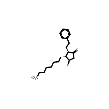 O=C(O)CCCCCCC[C@H]1C(F)CC(=O)[C@@H]1CCc1ccccc1